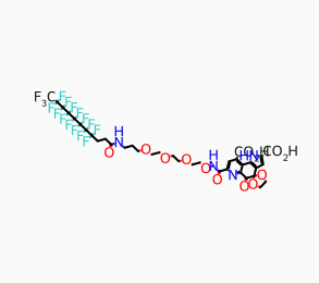 O=C(CCC(F)(F)C(F)(F)C(F)(F)C(F)(F)C(F)(F)C(F)(F)C(F)(F)C(F)(F)F)NCCCOCCOCCOCCONC(=O)c1cc(C(=O)O)c2c(n1)C(=O)C1(OCCO1)c1cc(C(=O)O)[nH]c1-2